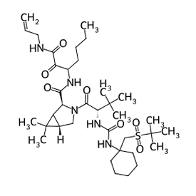 C=CCNC(=O)C(=O)C(CCCC)NC(=O)[C@@H]1C2[C@H](CN1C(=O)[C@@H](NC(=O)NC1(CS(=O)(=O)C(C)(C)C)CCCCC1)C(C)(C)C)C2(C)C